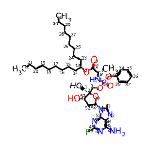 C#C[C@]1(COP(=O)(N[C@@H](C)C(=O)OC(CCCCCCCCC)CCCCCCCCC)Oc2ccccc2)O[C@@H](n2cnc3c(N)nc(F)nc32)C[C@@H]1O